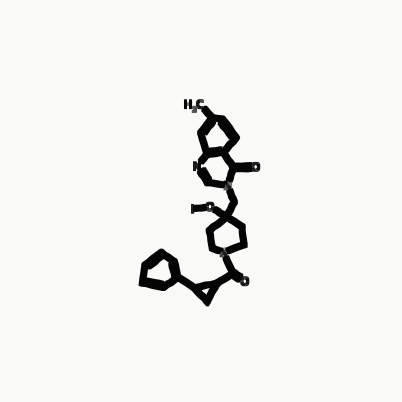 Cc1ccc2c(=O)n(CC3(OI)CCN(C(=O)C4CC4c4ccccc4)CC3)cnc2c1